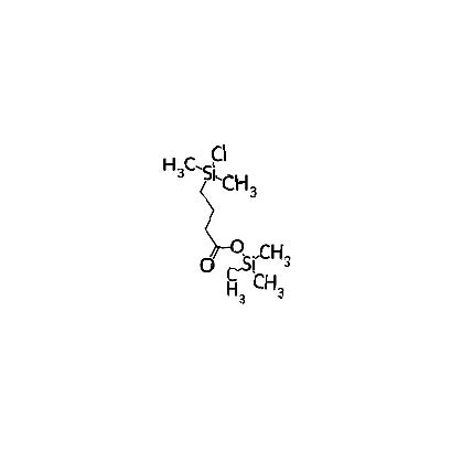 C[Si](C)(Cl)CCCC(=O)O[Si](C)(C)C